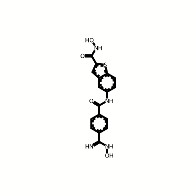 N=C(NO)c1ccc(C(=O)Nc2ccc3sc(C(=O)NO)cc3c2)cc1